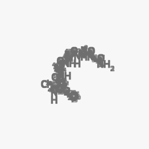 Cn1cc(NC(=O)c2cc(NC(=O)c3cc(NC(=O)C4(C)CSc5c(OCc6ccccc6)cc6c(c54)[C@@H](CCl)CN6)cn3C)cn2C)cc1C(=O)NCCC(N)=O